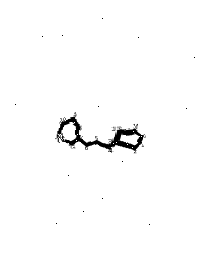 c1ccc(CCCC2CCC[N]C2)cc1